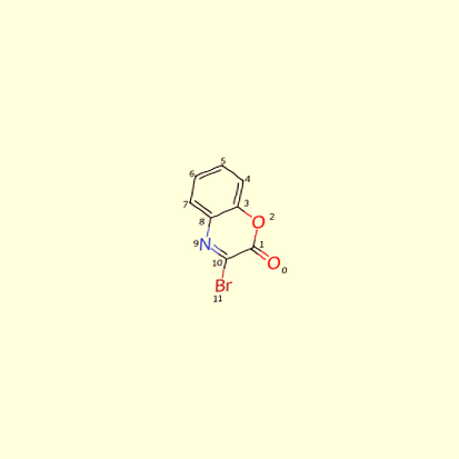 O=c1oc2ccccc2nc1Br